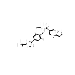 C[C@H]1COc2cc(-c3noc(C(F)(F)F)n3)cc(F)c2CN1C(=O)c1cnc2ccnn2c1